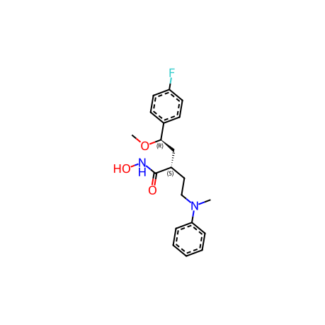 CO[C@H](C[C@H](CCN(C)c1ccccc1)C(=O)NO)c1ccc(F)cc1